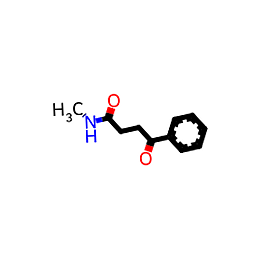 CNC(=O)CCC(=O)c1ccccc1